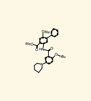 CCCCOc1ccc(N2CCCCC2)cc1C(=O)Nc1cc(-c2ccccc2)c(OC)cc1C(=O)OC